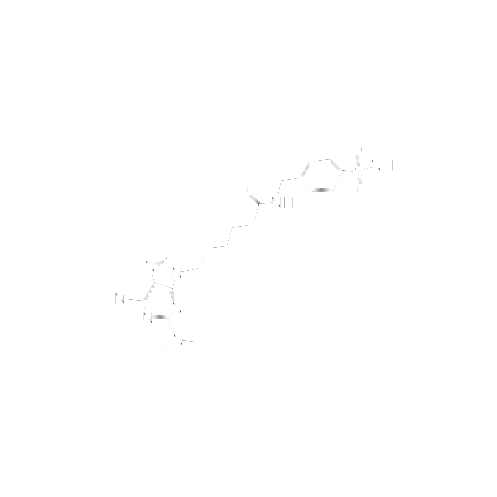 CN(C)c1nc(N)c2ncn(CCCCOC(=O)NCc3ccc(S(N)(=O)=O)cc3)c2n1